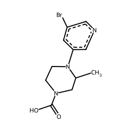 CC1CN(C(=O)O)CCN1c1cncc(Br)c1